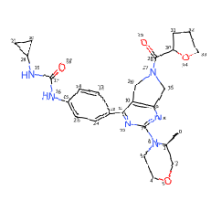 C[C@H]1COCCN1c1nc2c(c(-c3ccc(NC(=O)NC4CC4)cc3)n1)CN(C(=O)C1CCCO1)C2